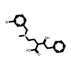 CN(CCC(C(=N)Cc1ccccc1)C(=O)O)Cc1cccc(Br)c1